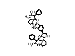 CN(C)C(C(=O)N1CCCC[C@H]1c1nc(-c2ccc3nc([C@@H]4CCCN4C(=O)C(c4ccccc4)N(C)C)[nH]c3c2)c[nH]1)c1ccccc1